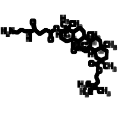 CC1(C)C2CC[C@]3(C)[C@H](C(=O)C=C4[C@@H]5C[C@@](C)(C(=O)OCC[Si](C)(C)C)CC[C@]5(C)CC[C@]43C)[C@@]2(C)CC[C@@H]1OC(=O)CCC(=O)NCCN